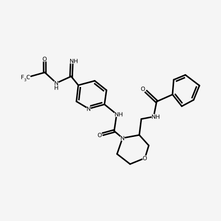 N=C(NC(=O)C(F)(F)F)c1ccc(NC(=O)N2CCOCC2CNC(=O)c2ccccc2)nc1